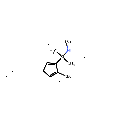 CC(C)(C)N[Si](C)(C)C1=CCC=C1C(C)(C)C